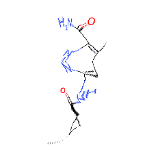 Cc1cc(NC(=O)[C@H]2C[C@@H]2C)nnc1C(N)=O